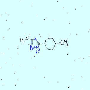 Cc1n[nH]c(C2CCC(C)CC2)n1